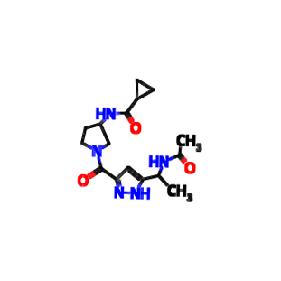 CC(=O)NC(C)c1cc(C(=O)N2CCC(NC(=O)C3CC3)C2)n[nH]1